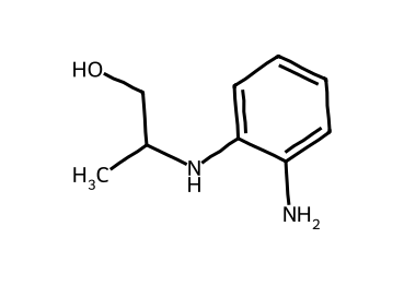 CC(CO)Nc1ccccc1N